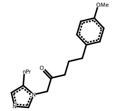 CCCc1cncn1CC(=O)CCCc1ccc(OC)cc1